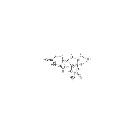 O=c1ccn([C@@H]2O[C@H](CO)[C@H]3OP(=O)(O)O[C@H]32)c(=O)[nH]1